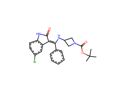 CC(C)(C)OC(=O)N1CC(N/C(=C2\C(=O)Nc3ccc(Br)cc32)c2ccccc2)C1